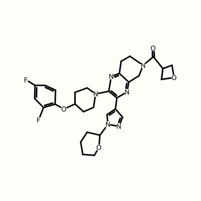 O=C(C1COC1)N1CCc2nc(N3CCC(Oc4ccc(F)cc4F)CC3)c(-c3cnn(C4CCCCO4)c3)nc2C1